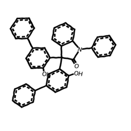 O=C1N(c2ccccc2)c2ccccc2C1(c1cc(-c2ccccc2)ccc1O)c1cc(-c2ccccc2)ccc1O